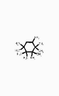 CC1(N)CC(N)C(C)(C)C(C)(N)C1(C)C